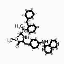 COC(=O)C(Cc1ccc(Nc2nccc3cnccc23)cc1)NC(=O)N(C)c1ccccc1Cc1ccccc1